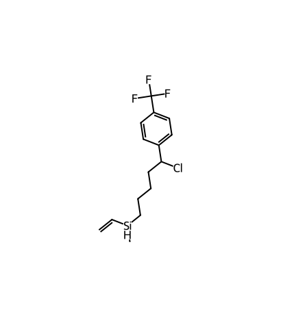 C=C[SiH](C)CCCCC(Cl)c1ccc(C(F)(F)F)cc1